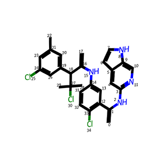 C=C(Nc1cc2cc[nH]c2cn1)c1cc(NC(=C)C(c2cc(C)cc(Cl)c2)C(C)(C)Cl)ccc1Cl